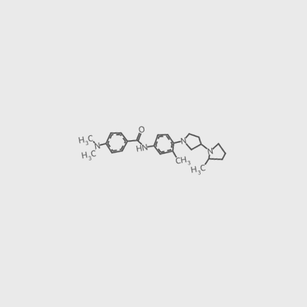 Cc1cc(NC(=O)c2ccc(N(C)C)cc2)ccc1N1CCC(N2CCCC2C)C1